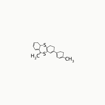 C=C1SC2=C(CCC(C3=CC=C(C)CC3)=C2)SC2CC=CC=C12